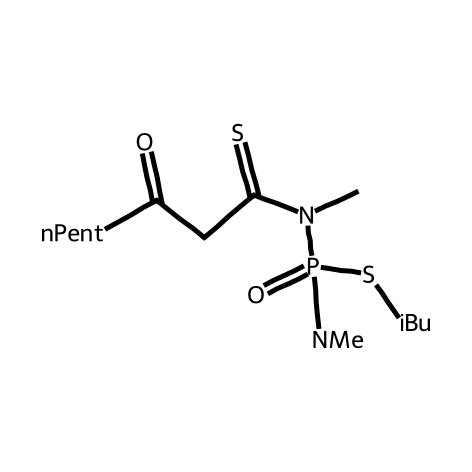 CCCCCC(=O)CC(=S)N(C)P(=O)(NC)SC(C)CC